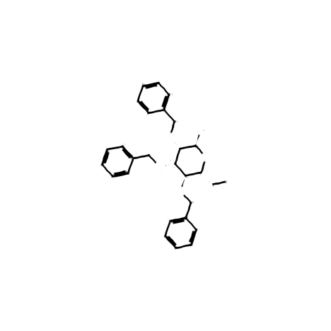 O[C@H]1O[C@H](CI)[C@@H](OCc2ccccc2)[C@H](OCc2ccccc2)[C@@H]1OCc1ccccc1